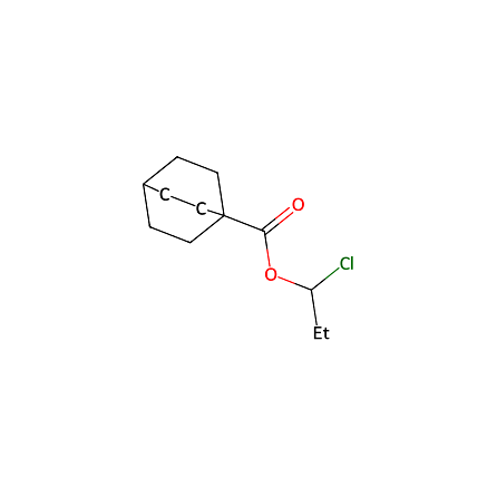 CCC(Cl)OC(=O)C12CCC(CC1)CC2